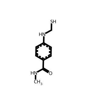 CNC(=O)c1ccc(NCS)cc1